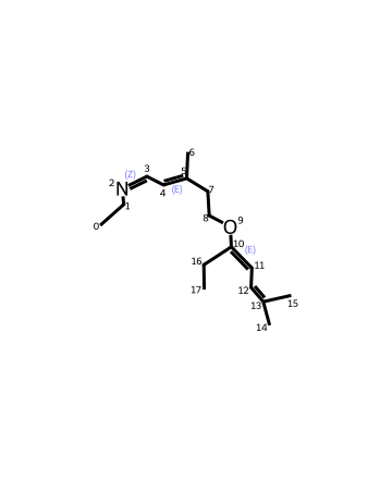 CC/N=C\C=C(/C)CCO/C(=C/C=C(C)C)CC